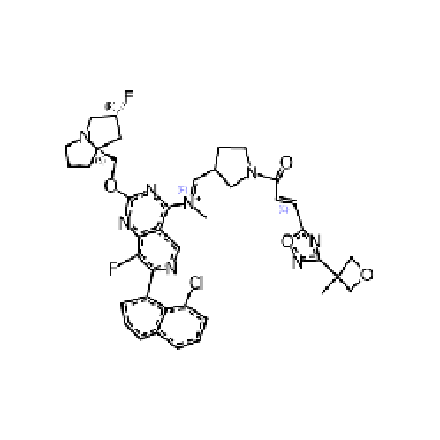 C/[N+](=C\C1CCN(C(=O)/C=C/c2nc(C3(C)COC3)no2)C1)c1nc(OC[C@@]23CCCN2C[C@H](F)C3)nc2c(F)c(-c3cccc4cccc(Cl)c34)ncc12